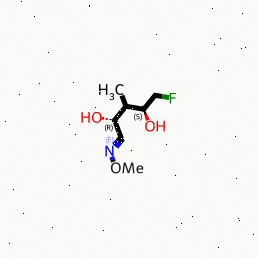 CO/N=C/[C@H](O)C(C)[C@H](O)CF